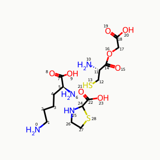 NCCCC[C@H](N)C(=O)O.N[C@@H](CS)C(=O)OCC(=O)O.O=C(O)C1NCCS1